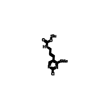 CSc1nc(Cl)ncc1C=CCNC(=O)OC(C)(C)C